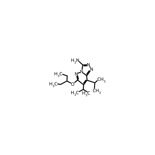 CCC(CC)Oc1nn2c(N)nnc2c(C(C)C)c1C(C)C